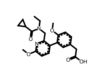 CCN(Cc1nc(OC)ccc1-c1cc(CC(=O)O)ccc1OC)C(=O)C1CC1